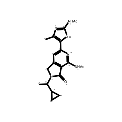 CC(=O)Nc1nc(C)c(-c2cc3c(c(NC(C)=O)n2)C(=O)N(C(C)C2CC2)C3)s1